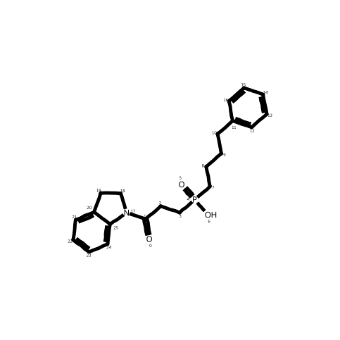 O=C(CCP(=O)(O)CCCCc1ccccc1)N1CCc2ccccc21